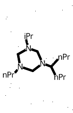 CCCC(CCC)N1CN(CCC)CN(C(C)C)C1